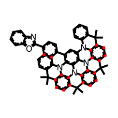 CC1(C)c2ccccc2N(c2cc(-c3ccc(-c4nc5ccccc5o4)cc3)c(N3c4ccccc4C(C)(C)c4ccccc43)c(N3c4ccccc4C(C)(C)c4ccccc43)c2N2c3ccccc3C(C)(C)c3ccccc32)c2ccccc21